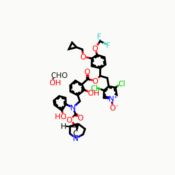 O=C(OC(Cc1c(Cl)c[n+]([O-])cc1Cl)c1ccc(OC(F)F)c(OCC2CC2)c1)c1cccc(CN(C(=O)O[C@H]2CN3CCC2CC3)c2ccccc2O)c1O.O=CO